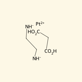 O=C(O)CC(=O)O.[NH-]CC[NH-].[Pt+2]